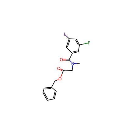 CN(CC(=O)OCc1ccccc1)C(=O)c1cc(F)cc(I)c1